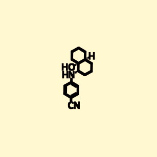 N#Cc1ccc(N[C@H]2CCC[C@@H]3CCCC[C@@]32O)cc1